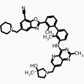 Cc1nc(Nc2cccc(-c3cccc(-c4nc5cc(CN6CCCCC6)cc(C#N)c5o4)c3C)c2C)c2ncc(CN3CC[C@@](C)(O)C3)cc2n1